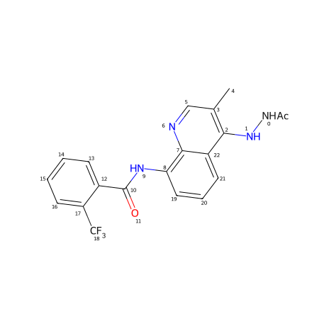 CC(=O)NNc1c(C)cnc2c(NC(=O)c3ccccc3C(F)(F)F)cccc12